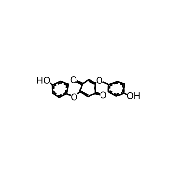 O=C1C=C(Oc2ccc(O)cc2)C(=O)C=C1Oc1ccc(O)cc1